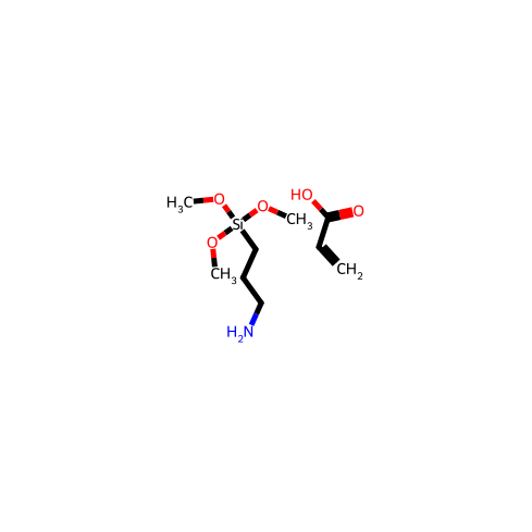 C=CC(=O)O.CO[Si](CCCN)(OC)OC